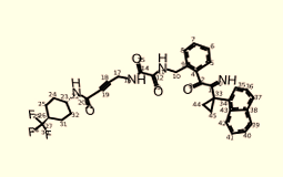 N=C(C(=O)c1ccccc1CNC(=O)C(=O)NCC#CC(=O)N[C@H]1CC[C@H](C(F)(F)F)CC1)C1(c2cccc3ccccc23)CC1